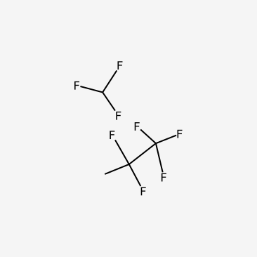 CC(F)(F)C(F)(F)F.FC(F)F